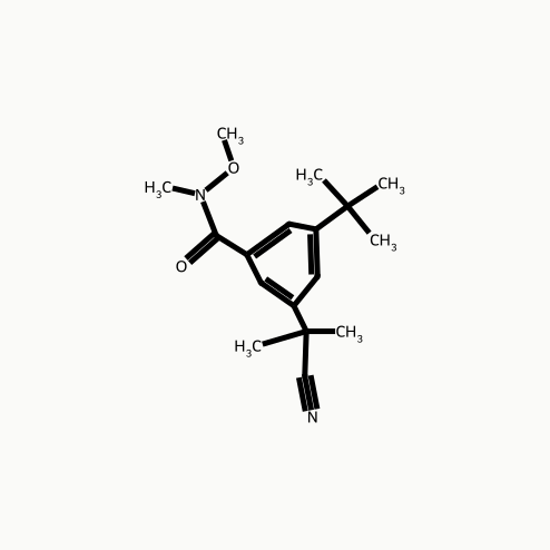 CON(C)C(=O)c1cc(C(C)(C)C)cc(C(C)(C)C#N)c1